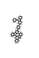 c1ccc(-n2c3ccccc3c3ccc(-c4ccc(-c5ccc6c(c5)c5ccccc5n6-c5nc6ccccc6c6nc7ccccc7n56)cc4)cc32)cc1